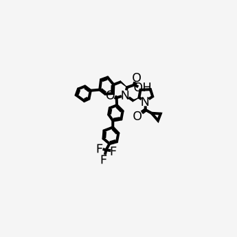 O=C(O)[C@H](Cc1ccc(-c2ccccc2)cc1)N(C[C@H]1CCCN1C(=O)C1CC1)C(=O)c1ccc(-c2ccc(C(F)(F)F)cc2)cc1